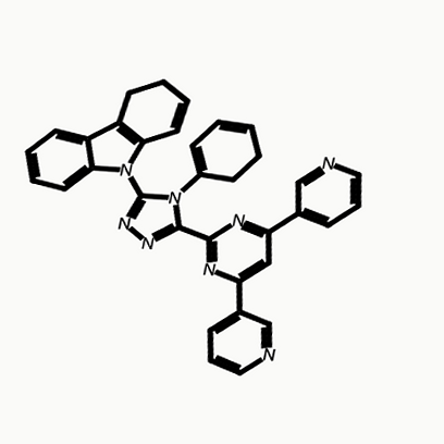 C1=CCCC(n2c(-c3nc(-c4cccnc4)cc(-c4cccnc4)n3)nnc2-n2c3c(c4ccccc42)CCC=C3)=C1